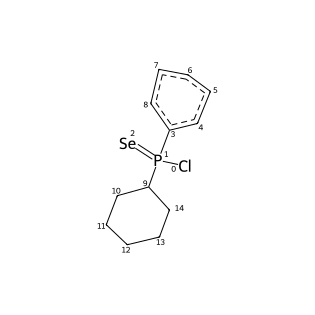 ClP(=[Se])(c1ccccc1)C1CCCCC1